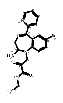 CCOC(=O)C(=O)CN1c2ccc(Br)cc2C(c2ccccn2)=NCC1N